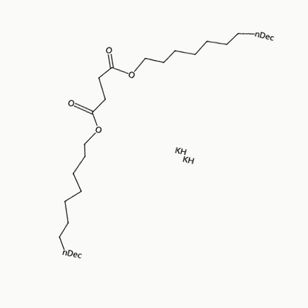 CCCCCCCCCCCCCCCCCOC(=O)CCC(=O)OCCCCCCCCCCCCCCCCC.[KH].[KH]